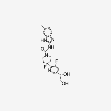 Cc1ccc2nc(NC(=O)N3CCC(F)(c4ncc([C@H](O)CO)cc4F)CC3)[nH]c2c1